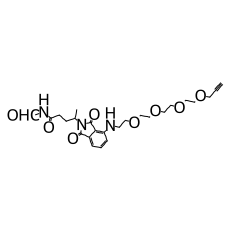 C#CCOCCOCCOCCOCCNc1cccc2c1C(=O)N(C(C)CCC(=O)NC=O)C2=O